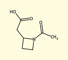 CC(=O)N1CCC1CC(=O)O